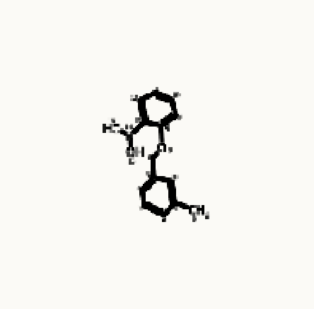 Cc1cccc(COc2ccccc2B(O)O)c1